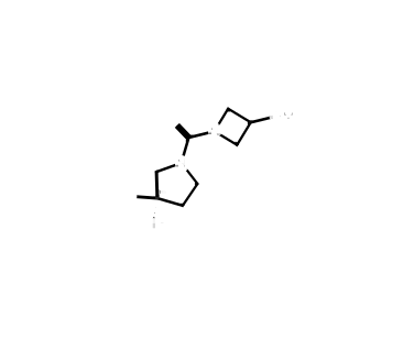 COC1CN(C(=O)N2CC[C@](C)(C(C)C)C2)C1